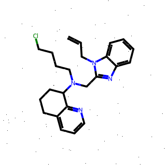 C=CCn1c(CN(CCCCCl)C2CCCc3cccnc32)nc2ccccc21